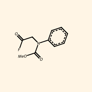 COC(=O)N(CC(=O)F)c1ccccc1